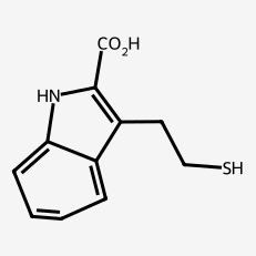 O=C(O)c1[nH]c2ccccc2c1CCS